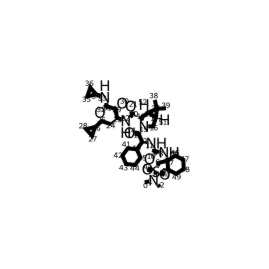 CN(C)S(=O)(=O)CC1(NC(=O)N[C@H](C(=O)N2C[C@H]3[C@@H]([C@H]2C(=O)N[C@@H](CCC2CC2)C(=O)C(=O)NC2CC2)C3(C)C)C2CCCCC2)CCCCC1